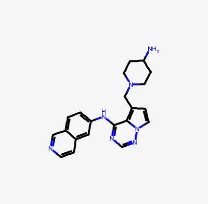 NC1CCN(Cc2ccn3ncnc(Nc4ccc5cnccc5c4)c23)CC1